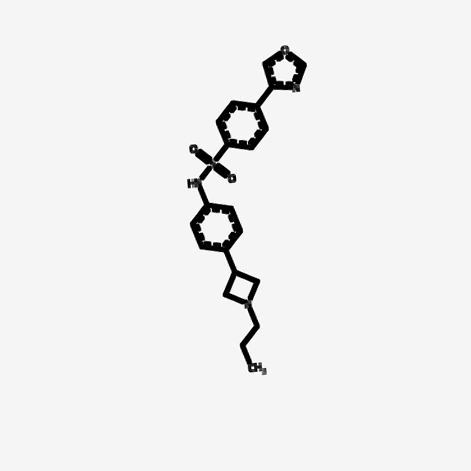 CCCN1CC(c2ccc(NS(=O)(=O)c3ccc(-c4cocn4)cc3)cc2)C1